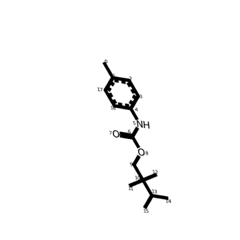 Cc1ccc(NC(=O)OCC(C)(C)C(C)C)cc1